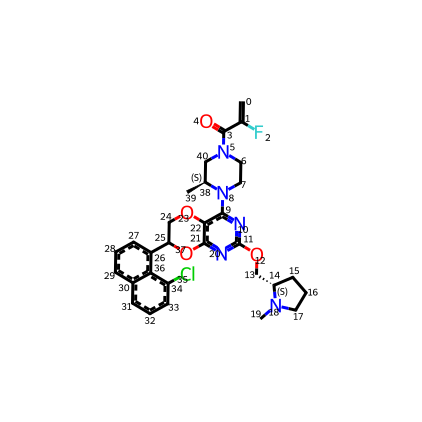 C=C(F)C(=O)N1CCN(c2nc(OC[C@@H]3CCCN3C)nc3c2OCC(c2cccc4cccc(Cl)c24)O3)[C@@H](C)C1